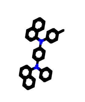 Cc1ccc(N(c2ccc(N(c3ccccc3)c3cccc4ccccc34)cc2)c2cccc3ccccc23)cc1